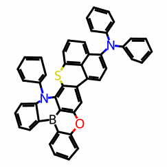 c1ccc(N2c3ccccc3B3c4ccccc4Oc4cc5c(c2c43)Sc2cccc3c(N(c4ccccc4)c4ccccc4)ccc-5c23)cc1